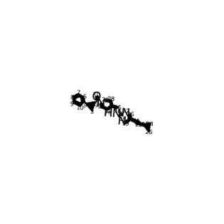 O=C([C@@H]1C[C@H]1c1ccccc1)N1CCC(CNc2ncc(C#CC3CC3)cn2)CC1